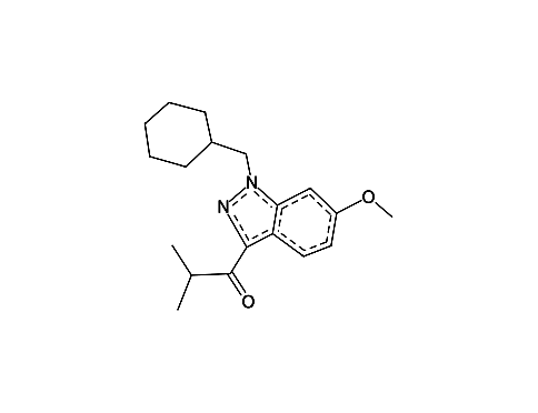 COc1ccc2c(C(=O)C(C)C)nn(CC3CCCCC3)c2c1